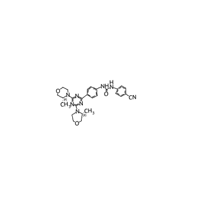 C[C@@H]1COCCN1c1nc(-c2ccc(NC(=O)Nc3ccc(C#N)cc3)cc2)nc(N2CCOC[C@H]2C)n1